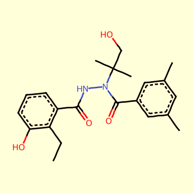 CCc1c(O)cccc1C(=O)NN(C(=O)c1cc(C)cc(C)c1)C(C)(C)CO